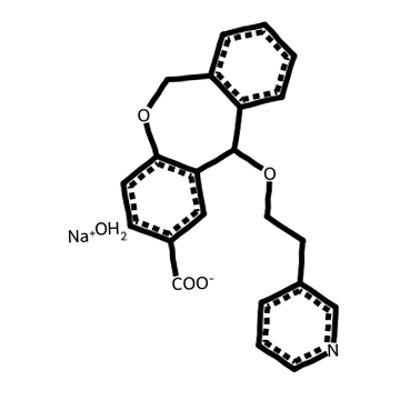 O.O=C([O-])c1ccc2c(c1)C(OCCc1cccnc1)c1ccccc1CO2.[Na+]